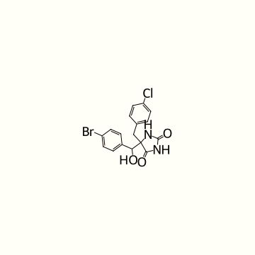 O=C1NC(=O)C(Cc2ccc(Cl)cc2)(C(O)c2ccc(Br)cc2)N1